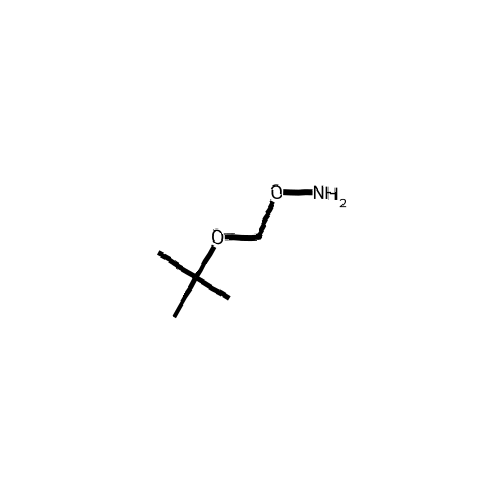 CC(C)(C)OCON